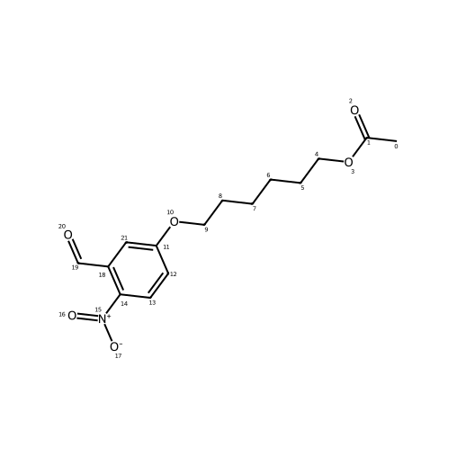 CC(=O)OCCCCCCOc1ccc([N+](=O)[O-])c(C=O)c1